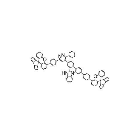 c1ccc(-c2nnc(-c3ccc(-c4cccc5c4Oc4ccccc4C54c5ccccc5-c5ccccc54)cc3)cc2-c2ccc3c(c2)C2Nc4ccccc4N2c2cc(-c4ccc(-c5cccc6c5Oc5ccccc5C65c6ccccc6-c6ccccc65)cc4)ccc2-3)cc1